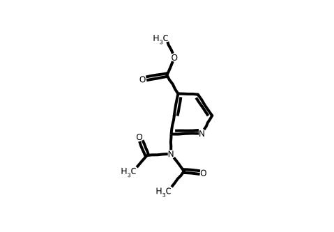 COC(=O)c1ccnc(N(C(C)=O)C(C)=O)c1